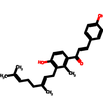 CC(C)=CCC/C(C)=C/Cc1c(O)ccc(C(=O)/C=C/c2ccc(O)cc2)c1C